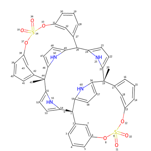 C[C@@]12c3cccc(c3)OS(=O)(=O)Oc3cccc(c3)[C@@](C)(c3ccc([nH]3)C3c4cccc(c4)OS(=O)(=O)Oc4cccc(c4)[C@](C)(c4ccc3[nH]4)c3ccc1[nH]3)c1ccc2[nH]1